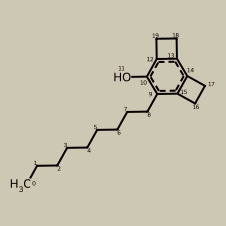 CCCCCCCCCc1c(O)c2c(c3c1CC3)CC2